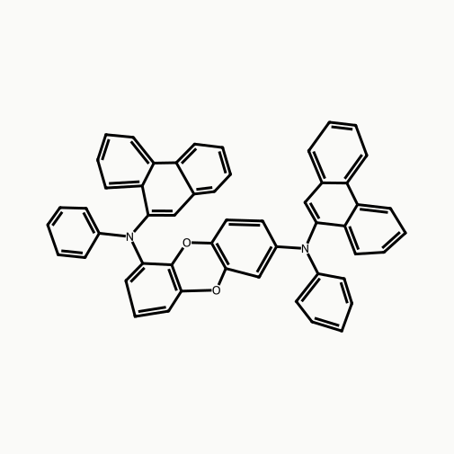 c1ccc(N(c2ccc3c(c2)Oc2cccc(N(c4ccccc4)c4cc5ccccc5c5ccccc45)c2O3)c2cc3ccccc3c3ccccc23)cc1